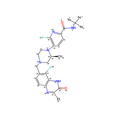 [2H]C([2H])([2H])NC(=O)c1ccc(N2CCN(Cc3ccc4nc(CC)c(=O)[nH]c4c3F)C[C@@H]2C)c(F)n1